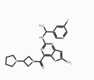 Cc1cc2nc(NC(C)c3cncc(F)c3)nc(C(=O)N3CC(N4CCCC4)C3)c2s1